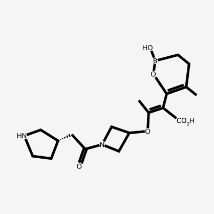 CC1=C(/C(C(=O)O)=C(\C)OC2CN(C(=O)C[C@@H]3CCNC3)C2)OB(O)CC1